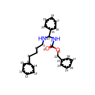 O=C(NC(NCCCCc1ccccc1)c1ccccc1)OCc1ccccc1